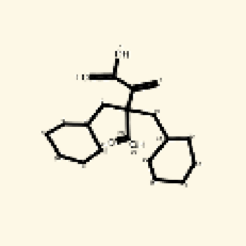 C=C(C(=O)O)C(CC1CCCCC1)(CC1CCCCC1)C(=O)O